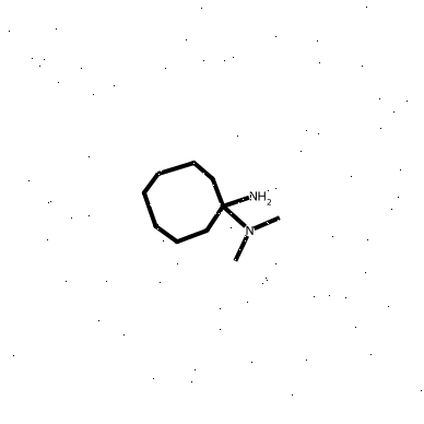 CN(C)C1(N)CCCCCCC1